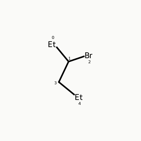 [CH2]CC(Br)CCC